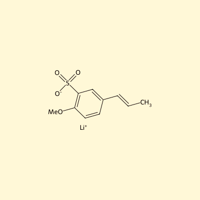 CC=Cc1ccc(OC)c(S(=O)(=O)[O-])c1.[Li+]